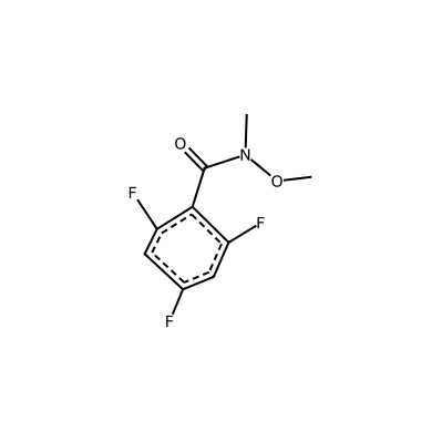 CON(C)C(=O)c1c(F)cc(F)cc1F